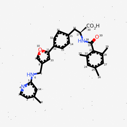 Cc1ccnc(NCc2coc(-c3ccc(C[C@H](NC(=O)c4c(C)cc(C)cc4C)C(=O)O)cc3)c2)c1